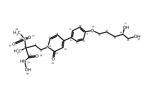 C[C@@](CCn1ccc(-c2ccc(OCCC[C@@H](O)CO)cc2)cc1=O)(C(=O)NO)S(C)(=O)=O